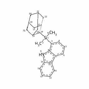 C[Si](C)(c1cccc2c1[nH]c1ccccc12)C1C2CC3CC(C2)CC1C3